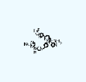 N#Cc1nccc(NC2CCN(Cc3ccc(-n4c(-c5cccnc5N)nc5ccc(-c6ccc(OC(F)F)nc6)nc54)cc3)CC2)n1